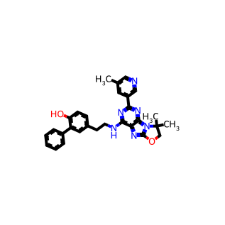 Cc1cncc(-c2nc(NCCc3ccc(O)c(-c4ccccc4)c3)c3nc4n(c3n2)C(C)(C)CO4)c1